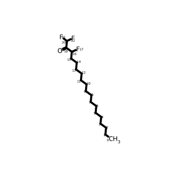 CCCCCCCCCCCCCCCCC(F)C(=O)C(F)F